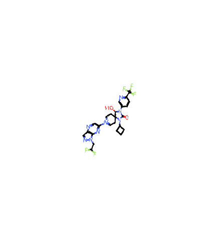 O=C1N(c2ccc(C(F)(F)F)nc2)C(O)C2(CCN(c3cnc4cnn(CC(F)F)c4n3)CC2)N1C1CCC1